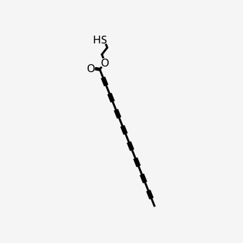 CC#CC#CC#CC#CC#CC#CC#CC#CC(=O)OCCS